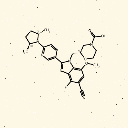 COc1cc(C#N)c(F)c2nc(-c3ccc(N4[C@@H](C)CC[C@@H]4C)nc3)n(C[C@@H]3CN(C(=O)O)CCO3)c12